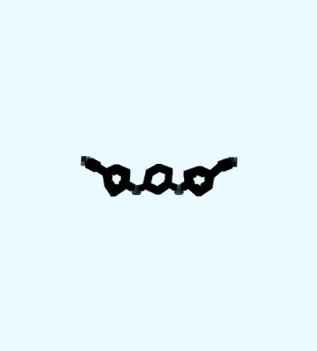 N#Cc1ccc(O[C@@H]2CCC[C@H](Oc3ccc(C#N)cc3)C2)cc1